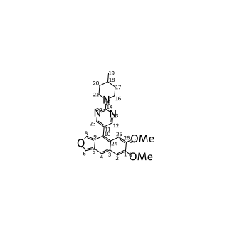 COc1cc2cc3cocc3c(-c3cnc(N4CCC(C)CC4)nc3)c2cc1OC